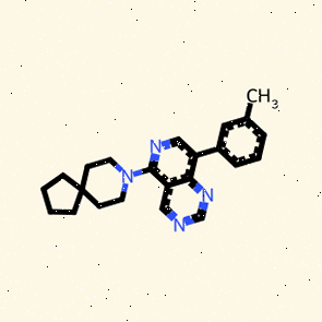 Cc1cccc(-c2cnc(N3CCC4(CCCC4)CC3)c3cncnc23)c1